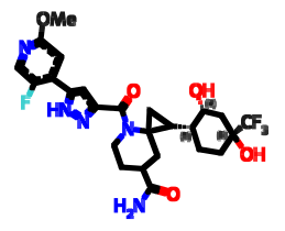 COc1cc(-c2cc(C(=O)N3CCC(C(N)=O)CC34CC4[C@H]3CC[C@](O)(C(F)(F)F)C[C@H]3O)n[nH]2)c(F)cn1